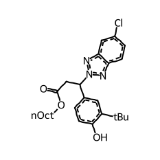 CCCCCCCCOC(=O)CC(c1ccc(O)c(C(C)(C)C)c1)n1nc2ccc(Cl)cc2n1